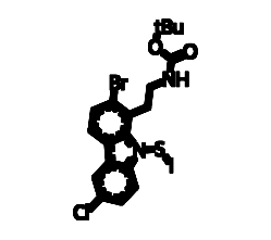 CC(C)(C)OC(=O)NCCc1c(Br)ccc2c3cc(Cl)ccc3n(SI)c12